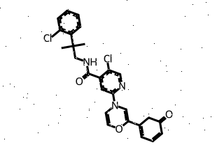 CC(C)(CNC(=O)c1cc(N2C=COC(C3=CC=CC(=O)C3)=C2)ncc1Cl)c1ccccc1Cl